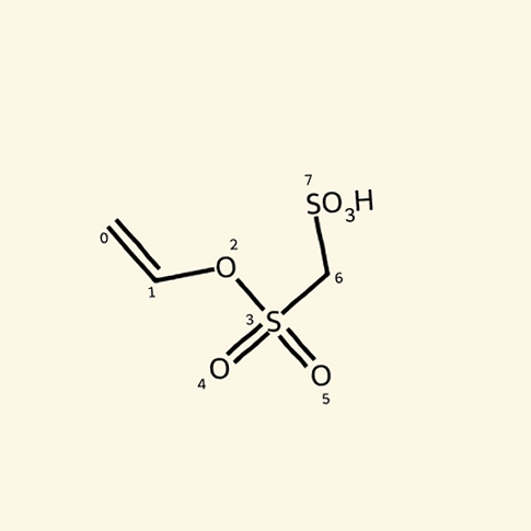 C=COS(=O)(=O)CS(=O)(=O)O